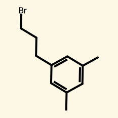 Cc1cc(C)cc(CCCBr)c1